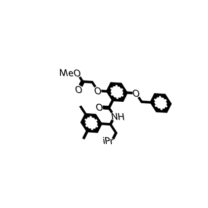 COC(=O)COc1ccc(OCc2ccccc2)cc1C(=O)NC(CC(C)C)c1cc(C)cc(C)c1